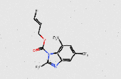 CCC=CCOC(=O)n1c(C(F)(F)F)nc2cc(C(F)(F)F)cc([N+](=O)[O-])c21